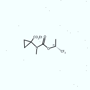 CCOC(=O)C1(N(C)C(=O)O[C@H](C)C(F)(F)F)CC1